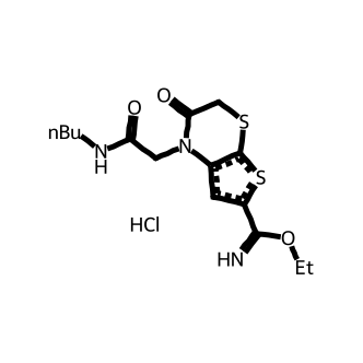 CCCCNC(=O)CN1C(=O)CSc2sc(C(=N)OCC)cc21.Cl